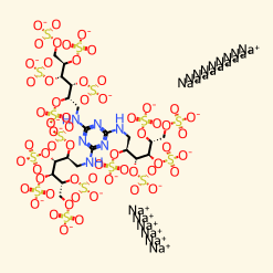 O=S(=O)([O-])OC[C@@H](OS(=O)(=O)[O-])[C@@H](OS(=O)(=O)[O-])[C@H](OS(=O)(=O)[O-])[C@H](CNc1nc(NC[C@H](OS(=O)(=O)[O-])[C@@H](OS(=O)(=O)[O-])[C@H](OS(=O)(=O)[O-])[C@@H](COS(=O)(=O)[O-])OS(=O)(=O)[O-])nc(NC[C@H](OS(=O)(=O)[O-])[C@@H](OS(=O)(=O)[O-])[C@H](OS(=O)(=O)[O-])[C@@H](COS(=O)(=O)[O-])OS(=O)(=O)[O-])n1)OS(=O)(=O)[O-].[Na+].[Na+].[Na+].[Na+].[Na+].[Na+].[Na+].[Na+].[Na+].[Na+].[Na+].[Na+].[Na+].[Na+].[Na+]